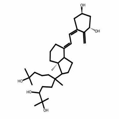 C=C1/C(=C\C=C2/CCC[C@@]3(C)C2CCC3C(C)(CCCC(C)(C)O)CCC(O)C(C)(C)O)C[C@@H](O)C[C@@H]1O